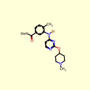 CNC(=O)c1ccc(C)c(N(Br)c2ccnc(OC3CCN(C)CC3)n2)c1